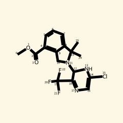 COC(=O)c1cccc2c1CN(C1NC(Cl)=CN=C1C(F)(F)F)C2(C)C